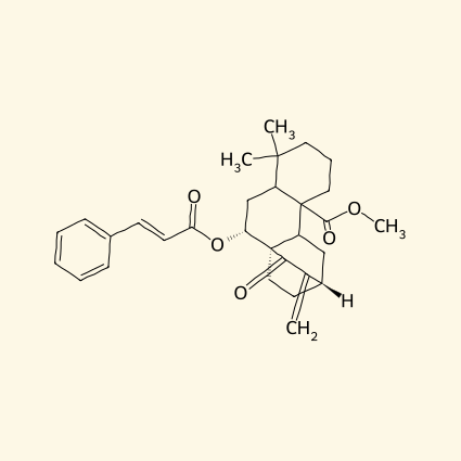 C=C1C(=O)[C@]23CC[C@H]1CC2C1(C(=O)OC)CCCC(C)(C)C1C[C@H]3OC(=O)/C=C/c1ccccc1